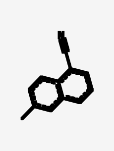 Cc1ccc2c(C#N)cccc2c1